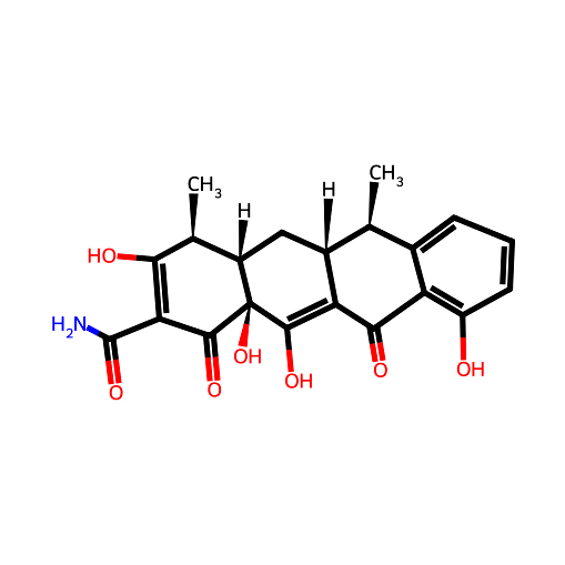 C[C@@H]1C(O)=C(C(N)=O)C(=O)[C@@]2(O)C(O)=C3C(=O)c4c(O)cccc4[C@H](C)[C@H]3C[C@@H]12